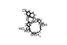 CN1CC/C=C/[C@H](O)[C@@H]2CC[C@H]2CN2C[C@@]3(CCCc4cc(Cl)ccc43)COc3ccc(nc32)[C@](O)(C(=O)O)CC1=O